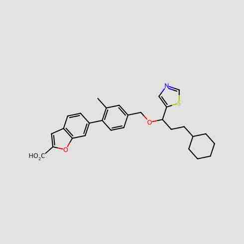 Cc1cc(COC(CCC2CCCCC2)c2cncs2)ccc1-c1ccc2cc(C(=O)O)oc2c1